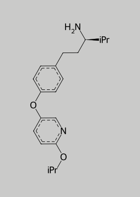 CC(C)Oc1ccc(Oc2ccc(CC[C@@H](N)C(C)C)cc2)cn1